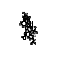 COC(=O)[C@@H]1CC(C=C(C)C)CN1C(=O)[C@@H](NC(=O)NC1(CS(=O)(=O)C(C)(C)C)CCCCC1)C(C)(C)C